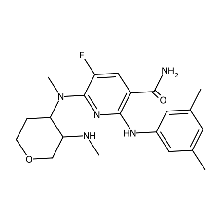 CNC1COCCC1N(C)c1nc(Nc2cc(C)cc(C)c2)c(C(N)=O)cc1F